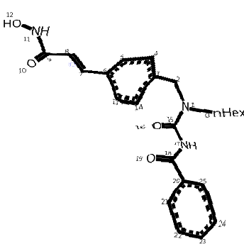 CCCCCCN(Cc1ccc(/C=C/C(=O)NO)cc1)C(=O)NC(=O)c1ccccc1